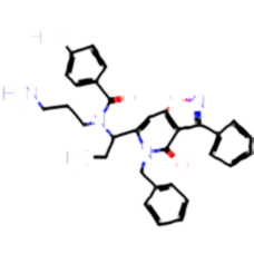 CCC(c1cc2onc(-c3ccccc3)c2c(=O)n1Cc1ccccc1)N(CCCN)C(=O)c1ccc(C)cc1